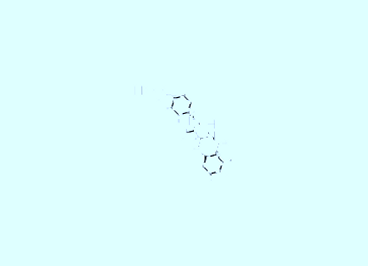 O=C(O)c1ccc(NC(=O)C2Cc3ccccc3CN2)cc1